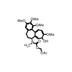 COC1=CC=C2C(=CC1O)[C@@H](N(C)C(=O)OCOC(C)=O)CCc1cc(OC)c(OC)c(OC)c12